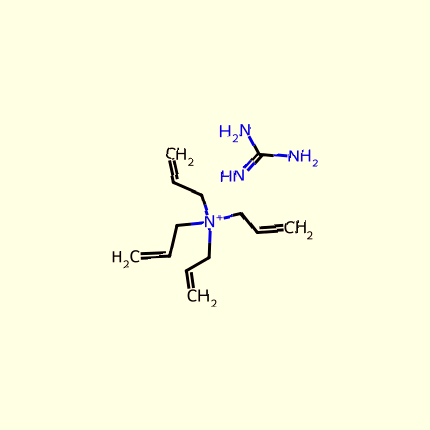 C=CC[N+](CC=C)(CC=C)CC=C.N=C(N)N